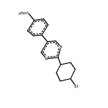 CCCCCc1ccc(-c2cnc(C3CCC(CC)CC3)nc2)cc1